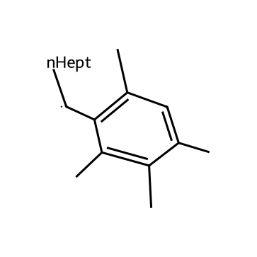 CCCCCCC[CH]c1c(C)cc(C)c(C)c1C